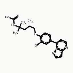 C[C@H](COc1ccc(-c2ccnc3ccnn23)cc1Cl)CC(C)(C)NC(=O)O